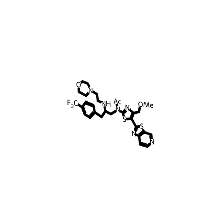 COCc1nc(N(CC(Cc2ccc(C(F)(F)F)cc2)NCCN2CCOCC2)C(C)=O)sc1-c1nc2ccncc2s1